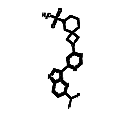 CS(=O)(=O)N1CCCC2(CN(c3cc(-c4cnc5ccc(C(F)F)nn45)ncn3)C2)C1